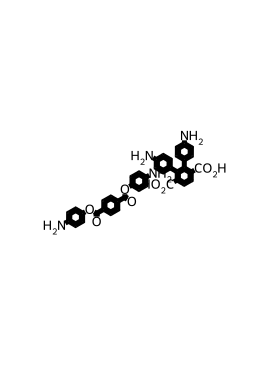 Nc1ccc(-c2c(C(=O)O)ccc(C(=O)O)c2-c2ccc(N)cc2)cc1.Nc1ccc(OC(=O)c2ccc(C(=O)Oc3ccc(N)cc3)cc2)cc1